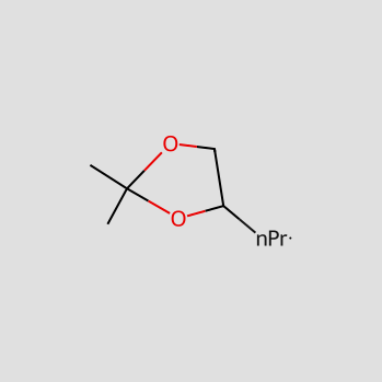 CC[CH]C1COC(C)(C)O1